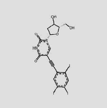 O=c1[nH]c(=O)n([C@@H]2CC(O)[C@H](CO)O2)cc1C#Cc1cc(I)c(I)cc1I